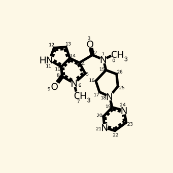 CN(C(=O)c1cn(C)c(=O)c2[nH]ccc12)C1CCN(c2cnccn2)CC1